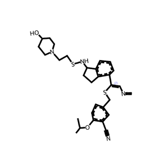 C=N/C=C(\SCc1ccc(OC(C)C)c(C#N)c1)c1cccc2c1CCC2NSCCN1CCC(O)CC1